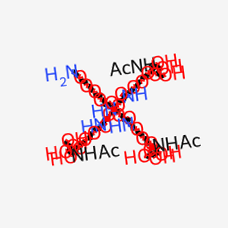 CC(=O)NC1C(OCCOCCOCCNC(=O)CCOCC(COCCC(=O)NCCOCCOCCOC2OC(CO)C(O)C(O)C2NC(C)=O)(COCCC(=O)NCCOCCOCCOC2OC(CO)C(O)C(O)C2NC(C)=O)NC(=O)CCOCCOCCOCCOCCN)OC(CO)C(O)C1O